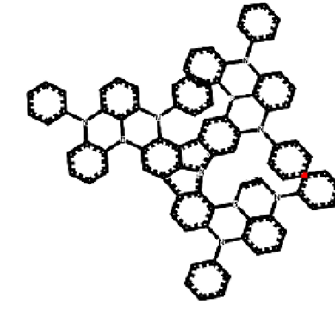 c1ccc(N2c3ccccc3B3c4cc5c6c7c(cc8c9ccc%10c(c9n(c5cc4N(c4ccccc4)c4cccc2c43)c86)B2c3ccccc3N(c3ccccc3)c3cccc(c32)N%10c2ccccc2)B2c3ccccc3N(c3ccccc3)c3cccc(c32)N7c2ccccc2)cc1